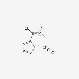 C[SiH](C)[Ti+3]([Cl])[C]1=CC=CC1.[Cl-].[Cl-].[Cl-]